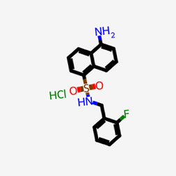 Cl.Nc1cccc2c(S(=O)(=O)NCc3ccccc3F)cccc12